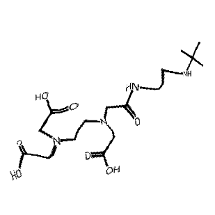 CC(C)(C)NCCNC(=O)CN(CCN(CC(=O)O)CC(=O)O)CC(=O)O